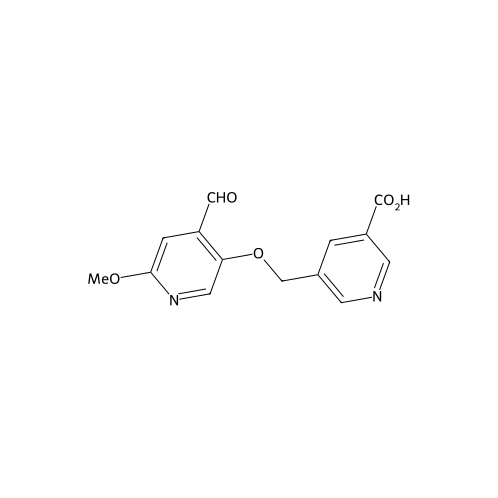 COc1cc(C=O)c(OCc2cncc(C(=O)O)c2)cn1